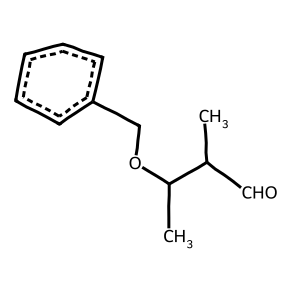 CC(C=O)C(C)OCc1ccccc1